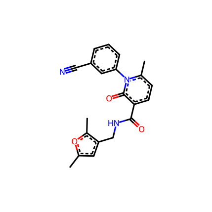 Cc1cc(CNC(=O)c2ccc(C)n(-c3cccc(C#N)c3)c2=O)c(C)o1